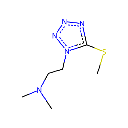 CSc1nnnn1CCN(C)C